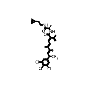 C=C(C)\C(=C/C=C(C)/C(F)=C/C(c1cc(Cl)c(Cl)c(Cl)c1)C(F)(F)F)C(=O)N[C@H](C)C(=O)NCCC1CC1